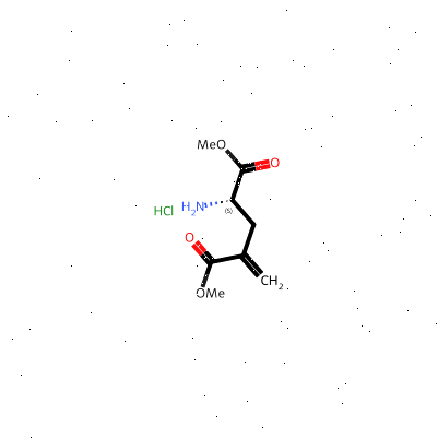 C=C(C[C@H](N)C(=O)OC)C(=O)OC.Cl